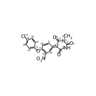 Cn1c(=O)[nH]c(=O)n(-c2ccc(Oc3ccc(Cl)cc3)c([N+](=O)[O-])c2)c1=O